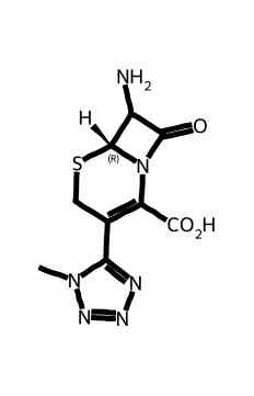 Cn1nnnc1C1=C(C(=O)O)N2C(=O)C(N)[C@H]2SC1